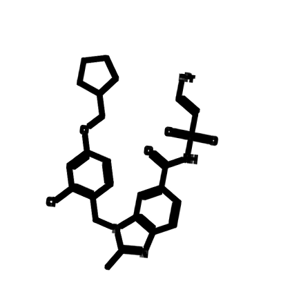 CCCC=CS(=O)(=O)NC(=O)c1ccc2nc(C)n(Cc3ccc(OCC4CCCC4)cc3Cl)c2c1